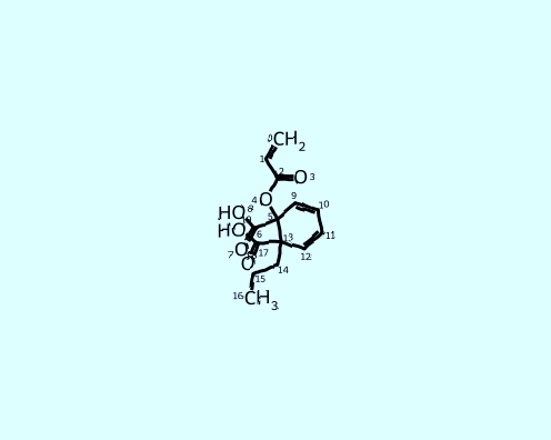 C=CC(=O)OC1(C(=O)O)C=CC=CC1(CCC)C(=O)O